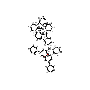 c1ccc(-c2cccc(-c3ccccc3N(c3cccc(-c4ccccc4)c3)c3ccc4c(c3)c3cccc5c3n4-c3ccccc3C53c4ccccc4-c4ccccc43)c2)cc1